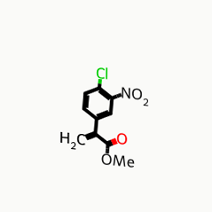 C=C(C(=O)OC)c1ccc(Cl)c([N+](=O)[O-])c1